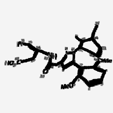 COc1cccc(OC)c1-c1cc(C(=O)N/C(=C/C(C)C)CC(=O)O)nn1C1CCC(C)C1C